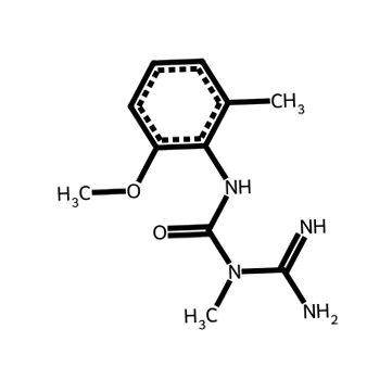 COc1cccc(C)c1NC(=O)N(C)C(=N)N